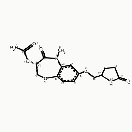 CN1C(=O)[C@@H](OC(N)=O)COc2ccc(OCC3CCC(=O)N3)cc21